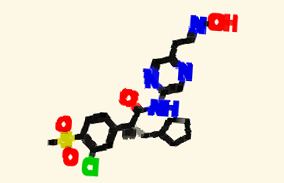 CS(=O)(=O)c1ccc([C@@H](CC2CCCC2)C(=O)Nc2cnc(CC=NO)cn2)cc1Cl